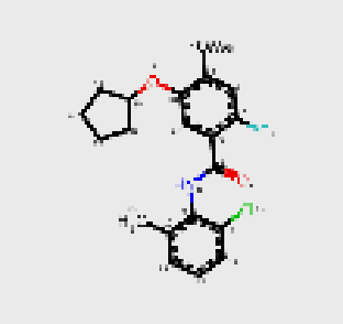 COc1cc(F)c(C(=O)Nc2c(C)cccc2Cl)cc1OC1CCCC1